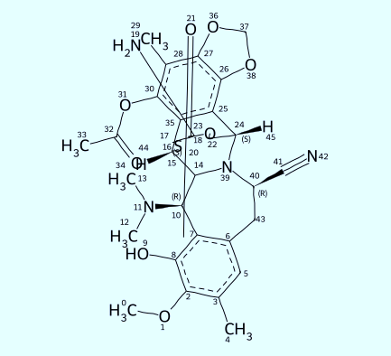 COc1c(C)cc2c(c1O)[C@@H](N(C)C)C1[C@H]3SCC(N)C(=O)OC[C@H](c4c5c(c(C)c(OC(C)=O)c43)OCO5)N1[C@@H](C#N)C2